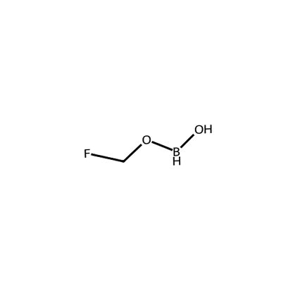 OBOCF